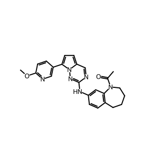 COc1ccc(-c2ccc3cnc(Nc4ccc5c(c4)N(C(C)=O)CCCC5)nn23)cn1